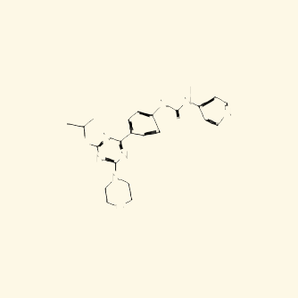 CC(C)Oc1nc(-c2ccc(NC(=O)Nc3ccncc3)cc2)nc(N2CCOCC2)n1